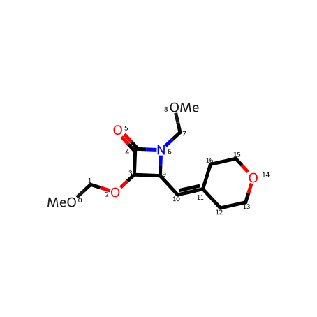 COCOC1C(=O)N(COC)C1C=C1CCOCC1